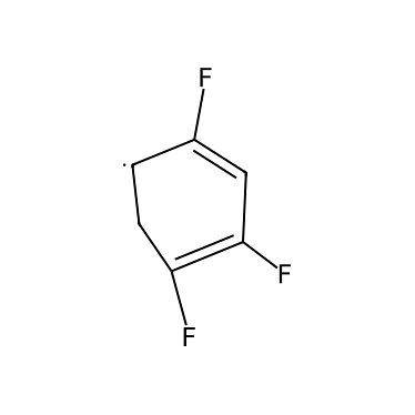 FC1=CC(F)=C(F)C[CH]1